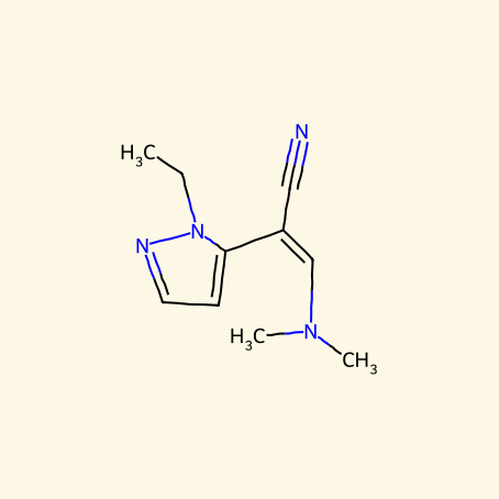 CCn1nccc1/C(C#N)=C\N(C)C